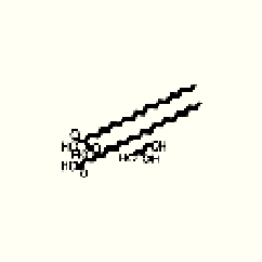 CCCCCCCCCCCCCCCCCCCC(C(=O)O)C(=O)O.CCCCCCCCCCCCCCCCCCCCCC(=O)O.OCC(O)CO